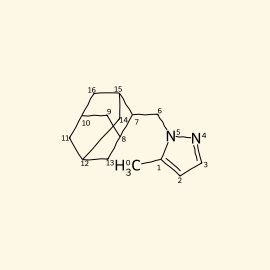 Cc1ccnn1CC1C2CC3CC(C2)CC1C3